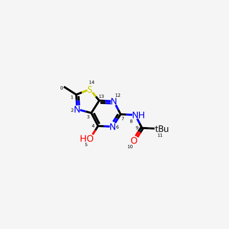 Cc1nc2c(O)nc(NC(=O)C(C)(C)C)nc2s1